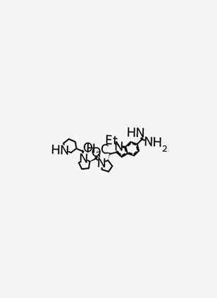 CCn1c(C(C)[C@@H]2CCCN2C(=O)[C@H]2CCCN2C(=O)C2CCCNC2)cc2ccc(C(=N)N)cc21